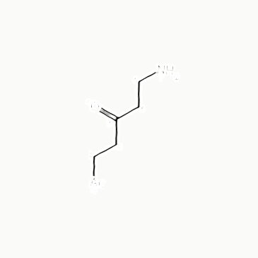 CC(=O)CCC(=O)CCN